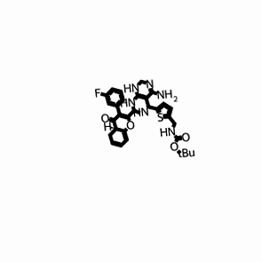 CC(NC1=C(C(=N)c2ccc(CNC(=O)OC(C)(C)C)s2)C(N)=NCN1)C1=C(c2cccc(F)c2)C(=O)[C@@H]2CC=CC=C2O1